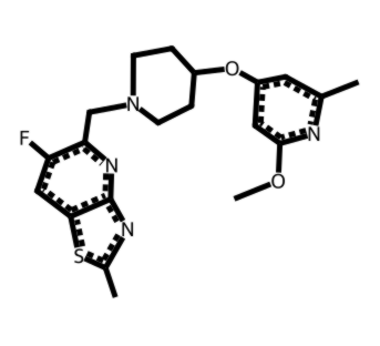 COc1cc(OC2CCN(Cc3nc4nc(C)sc4cc3F)CC2)cc(C)n1